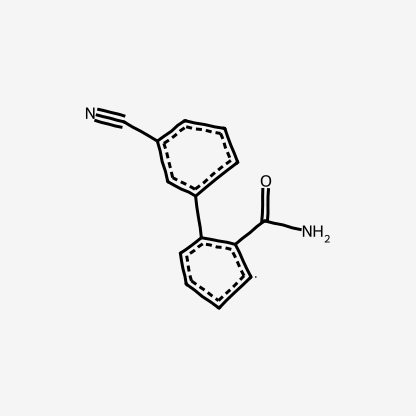 N#Cc1cccc(-c2ccc[c]c2C(N)=O)c1